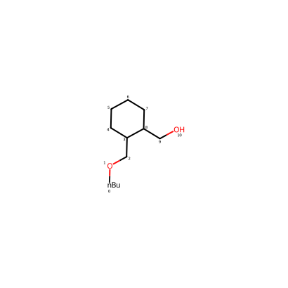 CCCCOCC1CCCCC1CO